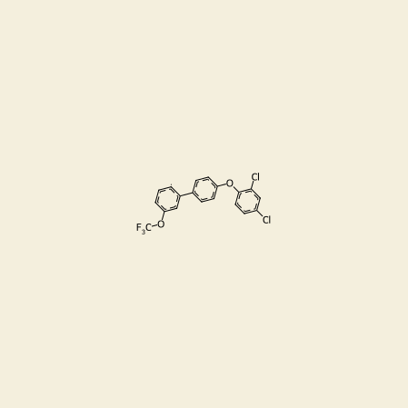 FC(F)(F)Oc1cc[c]c(-c2ccc(Oc3ccc(Cl)cc3Cl)cc2)c1